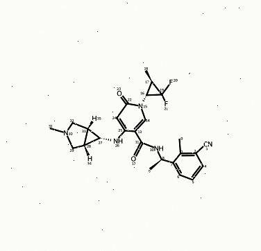 Cc1c(C#N)cccc1[C@@H](C)NC(=O)c1cn([C@@H]2[C@@H](C)C2(F)F)c(=O)cc1N[C@@H]1[C@@H]2CN(C)C[C@@H]21